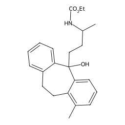 CCOC(=O)NC(C)CCC1(O)c2ccccc2CCc2c(C)cccc21